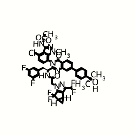 Cn1nc(NS(C)(=O)=O)c2c(Cl)ccc(-n3c([C@H](Cc4cc(F)cc(F)c4)NC(=O)Cn4nc(C(F)F)c5c4C(F)(F)[C@@H]4C[C@H]54)nc4cc(-c5ccc(C(C)(C)O)cc5)ccc4c3=O)c21